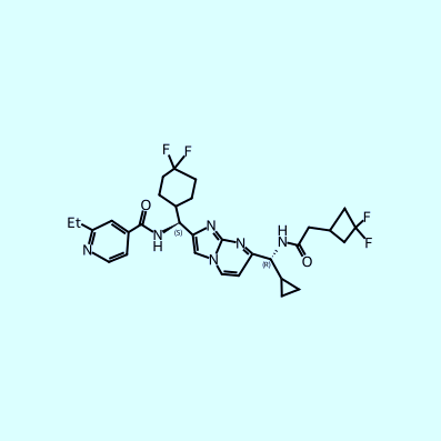 CCc1cc(C(=O)N[C@H](c2cn3ccc([C@H](NC(=O)CC4CC(F)(F)C4)C4CC4)nc3n2)C2CCC(F)(F)CC2)ccn1